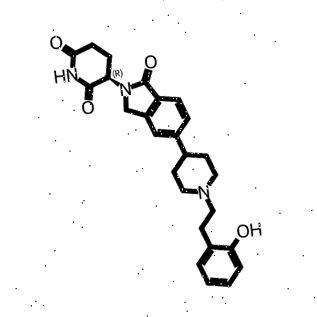 O=C1CC[C@@H](N2Cc3cc(C4CCN(CCc5ccccc5O)CC4)ccc3C2=O)C(=O)N1